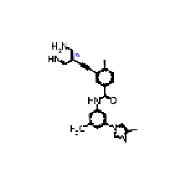 Cc1cn(-c2cc(NC(=O)c3ccc(C)c(C#C/C(C=N)=C/N)c3)cc(C(F)(F)F)c2)cn1